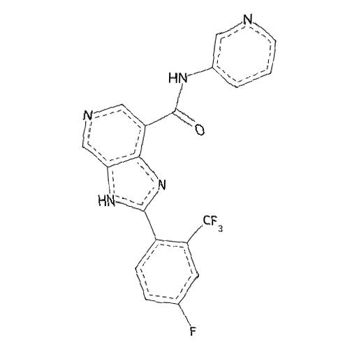 O=C(Nc1cccnc1)c1cncc2[nH]c(-c3ccc(F)cc3C(F)(F)F)nc12